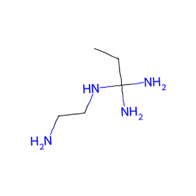 CCC(N)(N)NCCN